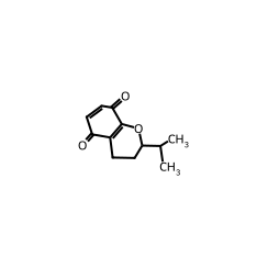 CC(C)C1CCC2=C(O1)C(=O)C=CC2=O